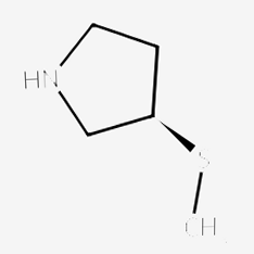 CS[C@@H]1CCNC1